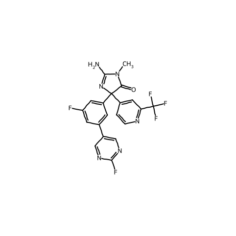 CN1C(=O)C(c2cc(F)cc(-c3cnc(F)nc3)c2)(c2ccnc(C(F)(F)F)c2)N=C1N